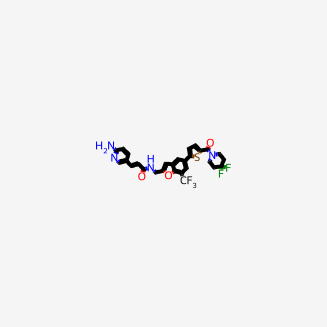 Nc1ccc(C=CC(=O)NCc2cc3cc(-c4ccc(C(=O)N5CCC(F)(F)CC5)s4)cc(C(F)(F)F)c3o2)cn1